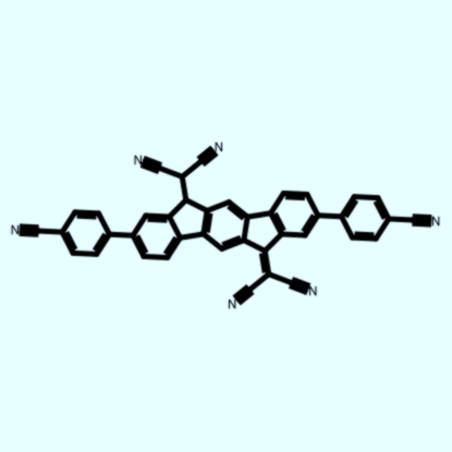 N#CC(C#N)=C1c2cc(-c3ccc(C#N)cc3)ccc2-c2cc3c(cc21)-c1ccc(-c2ccc(C#N)cc2)cc1C3C(C#N)C#N